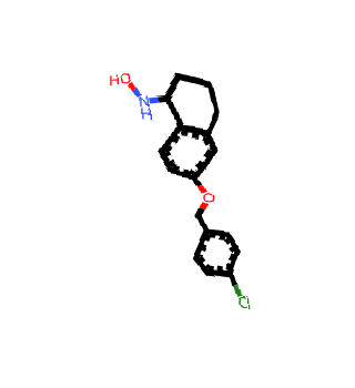 ONC1CCCc2cc(OCc3ccc(Cl)cc3)ccc21